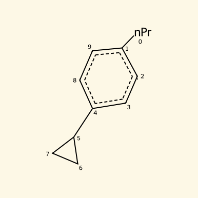 CCCc1[c]cc(C2CC2)cc1